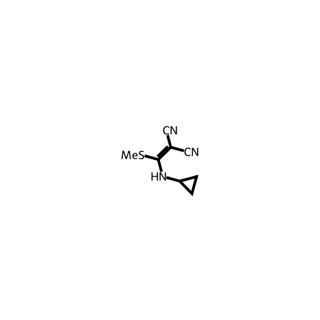 CSC(NC1CC1)=C(C#N)C#N